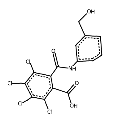 O=C(O)c1c(Cl)c(Cl)c(Cl)c(Cl)c1C(=O)Nc1cccc(CO)c1